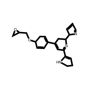 C1=CC(C2CC(C3=CCC(OCC4CO4)C=C3)=CC(C3=CCCN3)=N2)N=C1